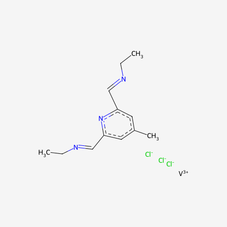 CCN=Cc1cc(C)cc(C=NCC)n1.[Cl-].[Cl-].[Cl-].[V+3]